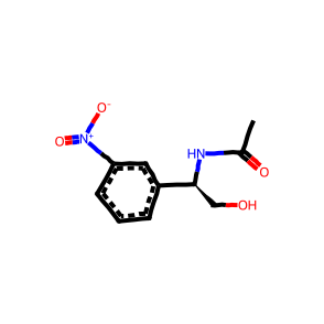 CC(=O)N[C@@H](CO)c1cccc([N+](=O)[O-])c1